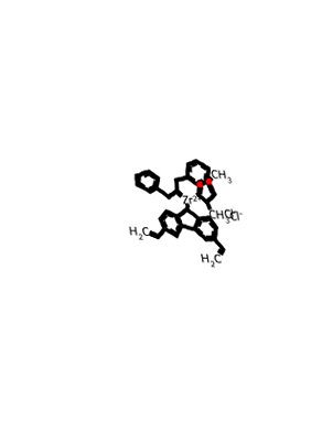 C=Cc1ccc2c(c1)-c1cc(C=C)ccc1[CH]2[Zr+2]([C]1=CC(C)=CC1C)=[C](Cc1ccccc1)Cc1ccccc1.[Cl-].[Cl-]